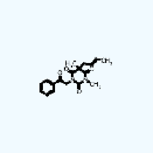 CC=CCC1(C)C(=O)N(C)C(=O)N(CC(=O)c2ccccc2)C1=O